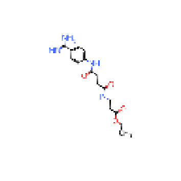 CCOC(=O)CCNC(=O)CCC(=O)Nc1ccc(C(=N)N)cc1